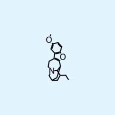 CCC1CC2CC3c4oc5ccc(OC)cc5c4CCN(C2)C13